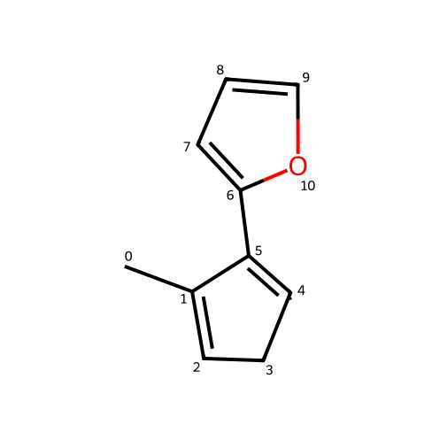 CC1=CC[C]=C1c1ccco1